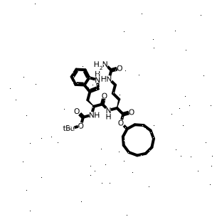 CC(C)(C)OC(=O)N[C@@H](Cc1c[nH]c2ccccc12)C(=O)N[C@@H](CCCNC(N)=O)C(=O)OC1CCCCCCCCCC1